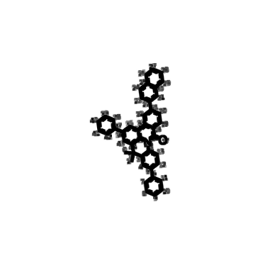 CC1(C)c2cc(-c3ccccc3)ccc2-n2c(=O)c3ccc(-c4ccc5ccccc5c4)cc3c3cc(-c4ccccc4)cc1c32